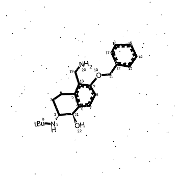 CC(C)(C)N[C@@H]1CCc2c(ccc(OCc3ccccc3)c2CN)[C@H]1O